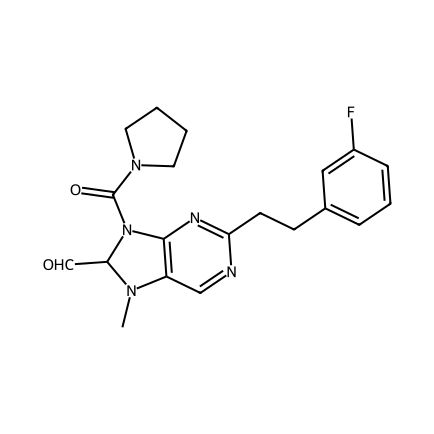 CN1c2cnc(CCc3cccc(F)c3)nc2N(C(=O)N2CCCC2)C1C=O